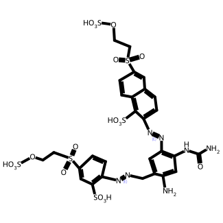 NC(=O)Nc1cc(N)c(C/N=N/c2ccc(S(=O)(=O)CCOS(=O)(=O)O)cc2S(=O)(=O)O)cc1/N=N/c1ccc2cc(S(=O)(=O)CCOS(=O)(=O)O)ccc2c1S(=O)(=O)O